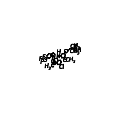 COc1cc(NC(C(=O)N2CCc3ccc(OC(F)(F)F)cc32)c2ccc(Cl)cc2OC)cc(OCCC(C)(C)C(=O)O)c1